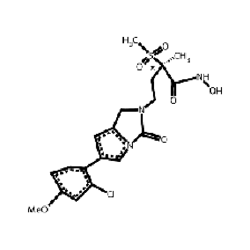 COc1ccc(-c2cc3n(c2)C(=O)N(CC[C@](C)(C(=O)NO)S(C)(=O)=O)C3)c(Cl)c1